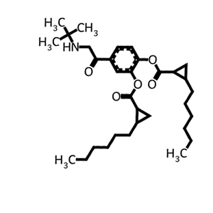 CCCCCCC1CC1C(=O)Oc1ccc(C(=O)CNC(C)(C)C)cc1OC(=O)C1CC1CCCCCC